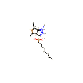 CCCCCCCCS(=O)(=O)c1nn(C)c2c(C)sc(C)c12